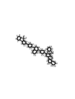 CC1(C)c2ccccc2-c2ccc(-c3ccc(-c4ccc(-c5ccc(-c6cc7c8ccc9ccccc9c8sc7c7nc8ccccc8n67)cc5)c5ccccc45)cc3)cc21